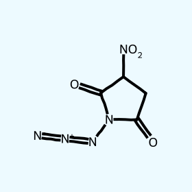 [N-]=[N+]=NN1C(=O)CC([N+](=O)[O-])C1=O